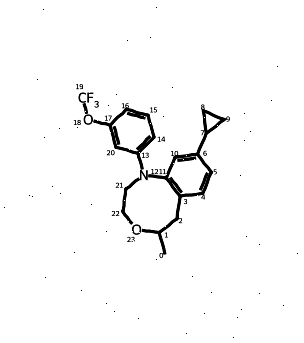 CC1Cc2ccc(C3CC3)cc2N(c2cccc(OC(F)(F)F)c2)CCO1